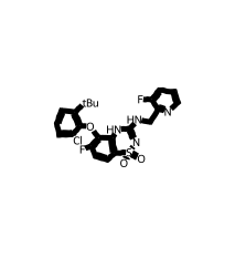 CC(C)(C)c1cccc(Cl)c1Oc1c(F)ccc2c1NC(NCc1ncccc1F)=NS2(=O)=O